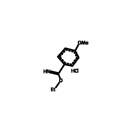 CCOC(=N)c1ccc(OC)cc1.Cl